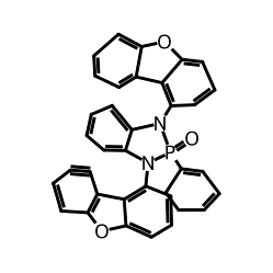 O=P1(C2=CC=CCC2)N(c2cccc3oc4ccc#cc4c23)c2ccccc2N1c1cccc2oc3ccccc3c12